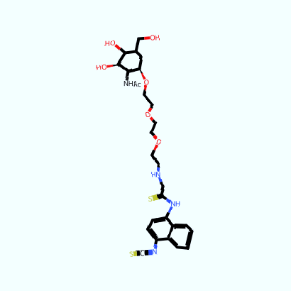 CC(=O)NC1[C@@H](O)C(O)C(CO)C[C@H]1OCCOCCOCCNCC(=S)Nc1ccc(N=C=S)c2ccccc12